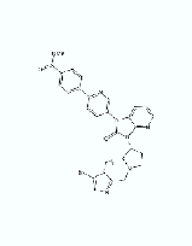 COC(=O)c1ccc(-c2ccc(-n3c(=O)n([C@@H]4CCN(Cc5ncc(Br)n5C)C4)c4ncccc43)cn2)cc1